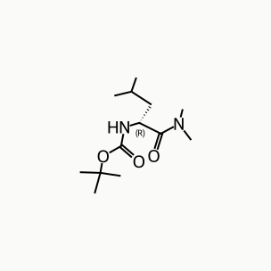 CC(C)C[C@@H](NC(=O)OC(C)(C)C)C(=O)N(C)C